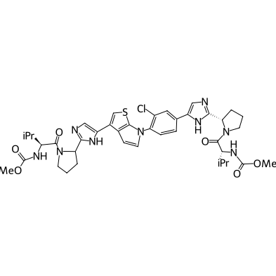 COC(=O)N[C@H](C(=O)N1CCCC1c1ncc(-c2csc3c2ccn3-c2ccc(-c3cnc([C@@H]4CCCN4C(=O)[C@H](NC(=O)OC)C(C)C)[nH]3)cc2Cl)[nH]1)C(C)C